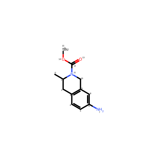 CC1Cc2ccc(N)cc2CN1C(=O)OC(C)(C)C